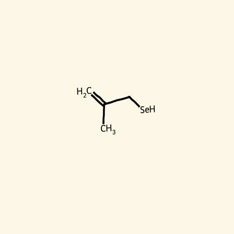 C=C(C)C[SeH]